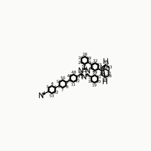 N#Cc1ccc(-c2ccc(-c3ccc(-c4nc(-c5ccccc5)nc(-c5ccccc5-c5ccc(C67CC8C[C@H](C6)C[C@@H](C8)C7)cc5)n4)cc3)cc2)cc1